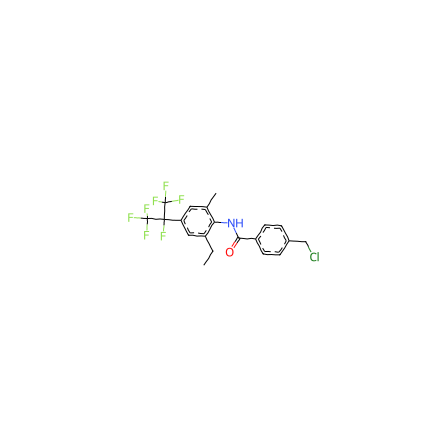 CCc1cc(C(F)(C(F)(F)F)C(F)(F)F)cc(C)c1NC(=O)c1ccc(CCl)cc1